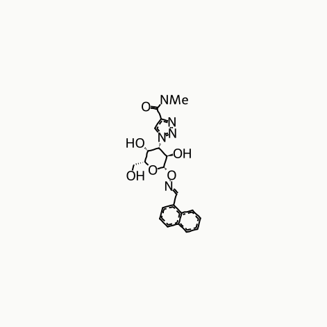 CNC(=O)c1cn([C@H]2[C@@H](O)[C@@H](CO)O[C@@H](ON=Cc3cccc4ccccc34)[C@@H]2O)nn1